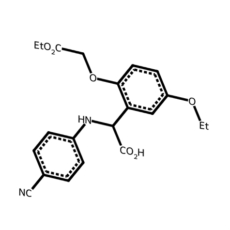 CCOC(=O)COc1ccc(OCC)cc1C(Nc1ccc(C#N)cc1)C(=O)O